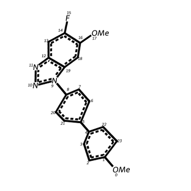 COc1ccc(-c2ccc(-n3nnc4cc(F)c(OC)cc43)cc2)cc1